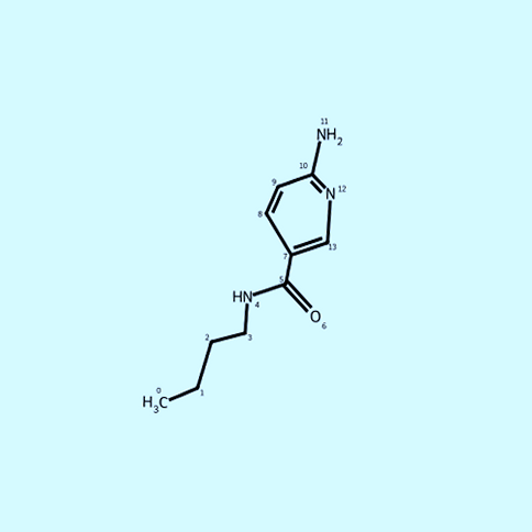 CCCCNC(=O)c1ccc(N)nc1